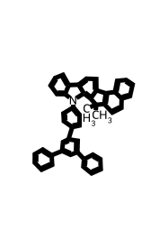 CC1(C)c2ccc3ccccc3c2-c2ccc3c4ccccc4n(-c4ccc(-c5cc(-c6ccccc6)cc(-c6ccccc6)c5)cc4)c3c21